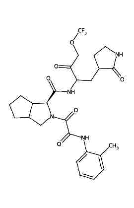 Cc1ccccc1NC(=O)C(=O)N1CC2CCCC2[C@H]1C(=O)NC(CC1CCNC1=O)C(=O)COC(F)(F)F